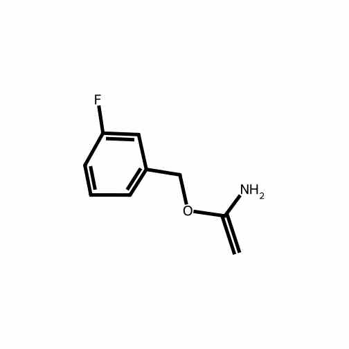 C=C(N)OCc1cccc(F)c1